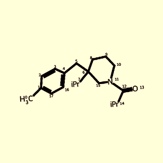 Cc1ccc(CC2(C(C)C)CCCN(C(=O)C(C)C)C2)cc1